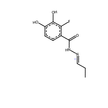 CC/C=N/NC(=O)c1ccc(O)c(O)c1F